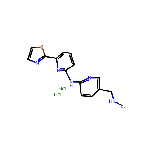 CCNCc1ccc(Nc2cccc(-c3nccs3)n2)nc1.Cl.Cl